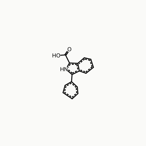 O=C(O)c1[nH]c(-c2ccccc2)c2ccccc12